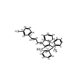 Cc1c(P(=S)(c2ccccc2)c2ccccc2)[n+]2ccccc2n1C/C=C/c1cccc(I)c1